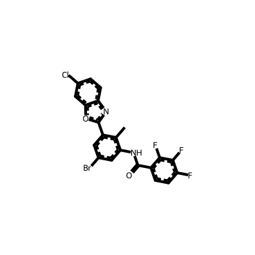 Cc1c(NC(=O)c2ccc(F)c(F)c2F)cc(Br)cc1-c1nc2ccc(Cl)cc2o1